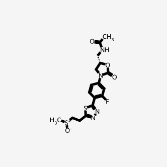 CC(=O)NC[C@H]1CN(c2ccc(-c3nnc(CC[S+](C)[O-])s3)c(F)c2)C(=O)O1